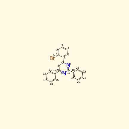 Brc1ccccc1C1CC(c2ccccc2)=NC(c2ccccc2)=N1